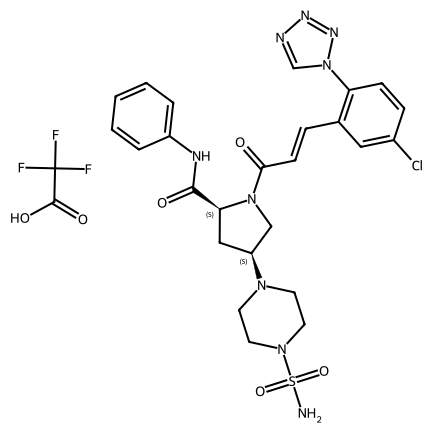 NS(=O)(=O)N1CCN([C@H]2C[C@@H](C(=O)Nc3ccccc3)N(C(=O)C=Cc3cc(Cl)ccc3-n3cnnn3)C2)CC1.O=C(O)C(F)(F)F